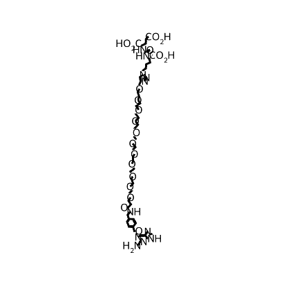 Nc1nc(OCc2ccc(CNC(=O)CCOCCOCCOCCOCCOCCOCCOCCOCCOCCOCCOCc3cn(CCCC[C@H](NC(=O)N[C@@H](CCC(=O)O)C(=O)O)C(=O)O)nn3)cc2)c2nc[nH]c2n1